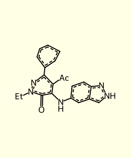 CCn1nc(-c2ccccc2)c(C(C)=O)c(Nc2ccc3n[nH]cc3c2)c1=O